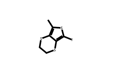 Cc1sc(I)c2c1SCCS2